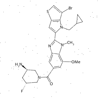 COc1cc(C(=O)N2C[C@H](N)C[C@@H](F)C2)cc2nc(-c3cc4scc(Br)c4n3CC3CC3)n(C)c12